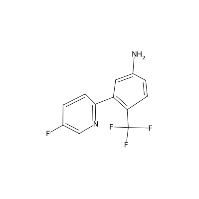 Nc1ccc(C(F)(F)F)c(-c2ccc(F)cn2)c1